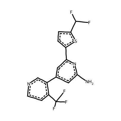 Nc1cc(-c2cnccc2C(F)(F)F)cc(-c2ccc(C(F)F)s2)n1